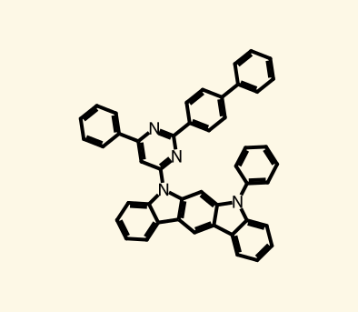 c1ccc(-c2ccc(-c3nc(-c4ccccc4)cc(-n4c5ccccc5c5cc6c7ccccc7n(-c7ccccc7)c6cc54)n3)cc2)cc1